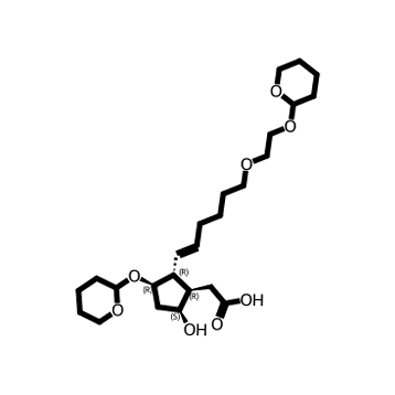 O=C(O)C[C@@H]1[C@@H](C=CCCCCOCCOC2CCCCO2)[C@H](OC2CCCCO2)C[C@@H]1O